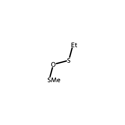 CCSOSC